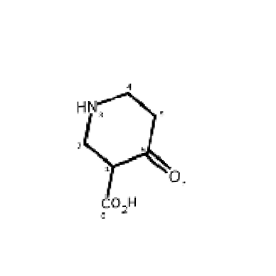 O=C(O)C1CNCCC1=O